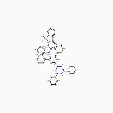 CC1(C)c2ccccc2-c2ccc3c(c21)c1ccccc1n3-c1c(-c2ccccc2)cc(-c2nc(-c3ccccc3)nc(-c3ccccc3)n2)cc1-c1ccccc1